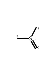 C=S(C)C